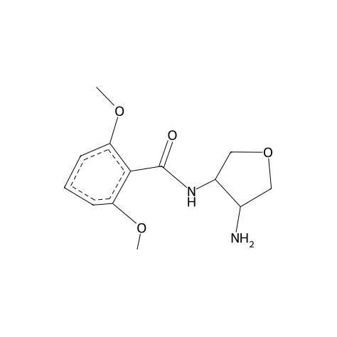 COc1cccc(OC)c1C(=O)NC1COCC1N